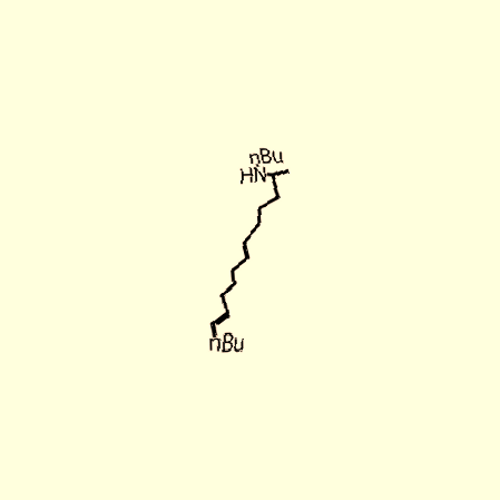 CCCCC=CCCCCCCCCC(C)NCCCC